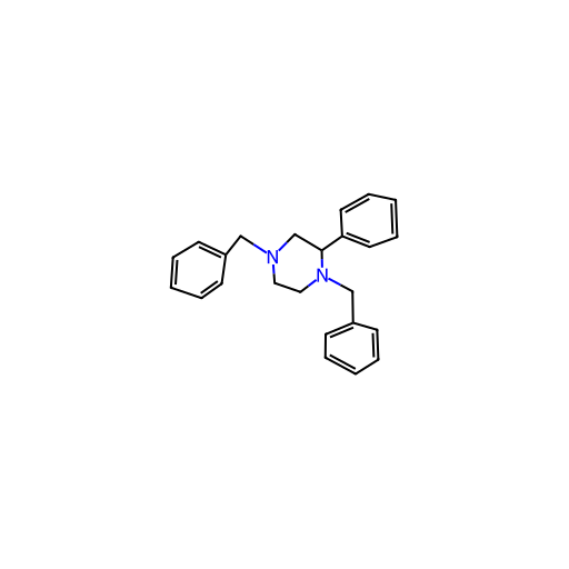 c1ccc(CN2CCN(Cc3ccccc3)C(c3ccccc3)C2)cc1